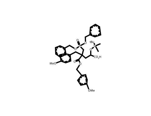 COc1ccc(COC(=O)C(Cc2ccc(OC)cc2)(CC(O[Si](C)(C)C(C)(C)C)C(=O)O)CP(=O)(OCc2ccccc2)OCc2ccccc2)cc1